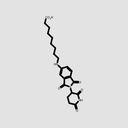 O=C(O)CCCCCCCCNc1ccc2c(c1)C(=O)N(C1CCC(=O)NC1=O)C2=O